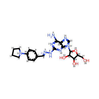 Nc1nc(N/N=C/c2ccc(N3CCCC3)cc2)nc2c1ncn2C1OC(CO)C(O)C1O